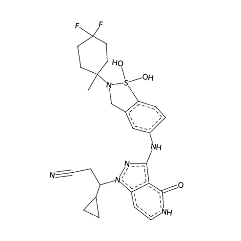 CC1(N2Cc3cc(Nc4nn(C(CC#N)C5CC5)c5cc[nH]c(=O)c45)ccc3S2(O)O)CCC(F)(F)CC1